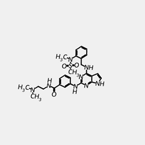 CN(C)CCNC(=O)c1cccc(Nc2nc(NCc3ccccc3N(C)S(C)(=O)=O)c3cc[nH]c3n2)c1